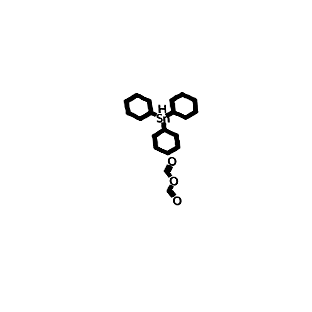 C1CC[CH]([SnH]([CH]2CCCCC2)[CH]2CCCCC2)CC1.O=COC=O